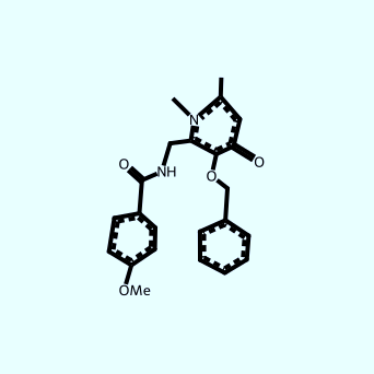 COc1ccc(C(=O)NCc2c(OCc3ccccc3)c(=O)cc(C)n2C)cc1